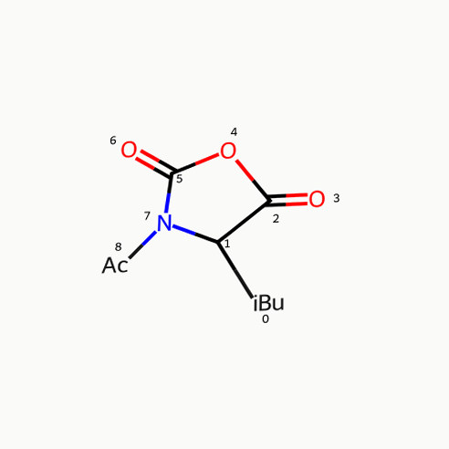 CCC(C)C1C(=O)OC(=O)N1C(C)=O